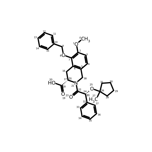 COc1ccc2c(c1OCc1ccccc1)C[C@@H](C(=O)O)N(C(=O)[C@H](OC1(C)CCCC1)c1ccccc1)C2